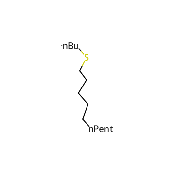 CCC[CH]SCCCCCCCCCC